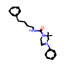 CC1(C)CN(c2ccccc2)CCN1C(=O)NCCCCc1ccccc1